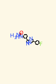 NC(=O)Nc1cccc(-c2cnn3cc(-c4ccc(F)cc4)cnc23)c1